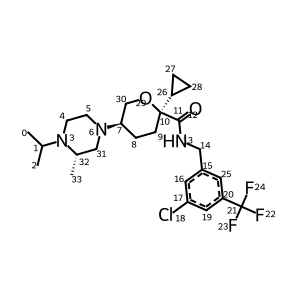 CC(C)N1CCN([C@@H]2CC[C@@](C(=O)NCc3cc(Cl)cc(C(F)(F)F)c3)(C3CC3)OC2)C[C@@H]1C